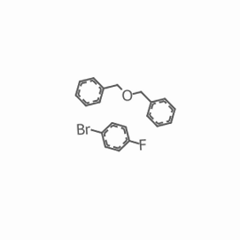 Fc1ccc(Br)cc1.c1ccc(COCc2ccccc2)cc1